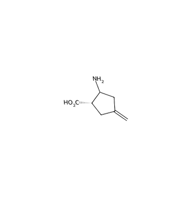 C=C1CC(N)[C@@H](C(=O)O)C1